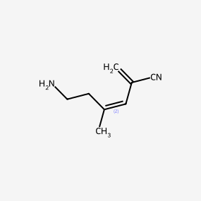 C=C(C#N)/C=C(/C)CCN